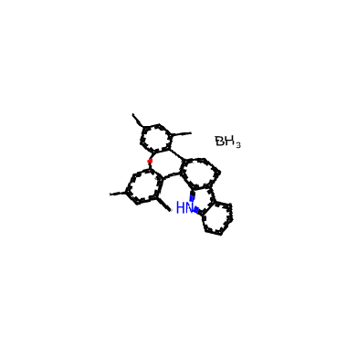 B.Cc1cc(C)c(-c2ccc3c([nH]c4ccccc43)c2-c2c(C)cc(C)cc2C)c(C)c1